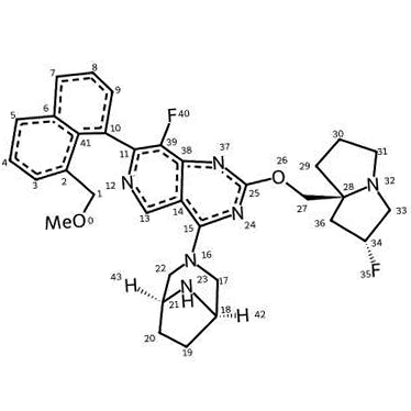 COCc1cccc2cccc(-c3ncc4c(N5C[C@H]6CC[C@@H](C5)N6)nc(OC[C@@]56CCCN5C[C@H](F)C6)nc4c3F)c12